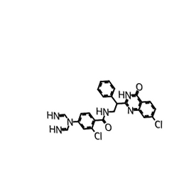 N=CN(C=N)c1ccc(C(=O)NCC(c2ccccc2)c2nc3cc(Cl)ccc3c(=O)[nH]2)c(Cl)c1